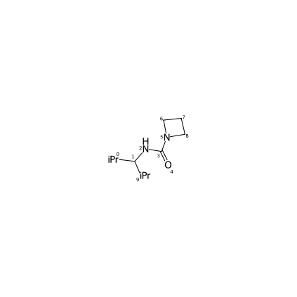 CC(C)C(NC(=O)N1CCC1)C(C)C